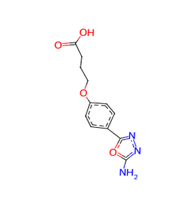 Nc1nnc(-c2ccc(OCCCC(=O)O)cc2)o1